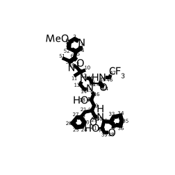 COc1cncc(-c2oc(C(C)(C)N3CCN(C[C@@H](O)CC(Cc4ccccc4)C(=O)N[C@H]4c5ccccc5OC[C@H]4O)[C@H](C(=O)NCC(F)(F)F)C3)nc2C)c1